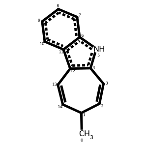 CC1C=Cc2[nH]c3ccccc3c2C=C1